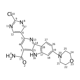 NC(=O)c1cc(-c2cnc(Cl)nc2)nc2c1[nH]c1cc(N3CCOCC3)ccc12